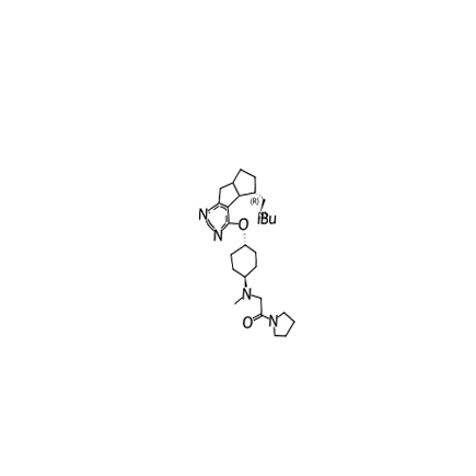 CC[C@H](C)C[C@H]1CCC2Cc3ncnc(O[C@H]4CC[C@H](N(C)CC(=O)N5CCCC5)CC4)c3C21